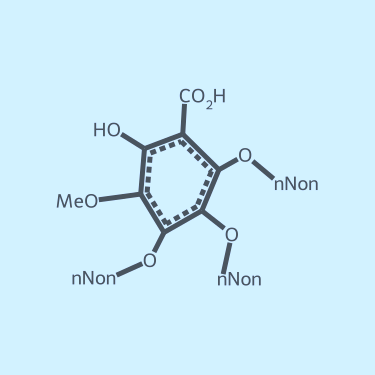 CCCCCCCCCOc1c(OC)c(O)c(C(=O)O)c(OCCCCCCCCC)c1OCCCCCCCCC